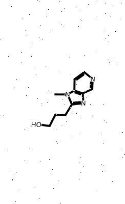 Cn1c(CCCO)nc2cnccc21